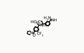 N=C(N)c1cccc(C(CC(=O)O)NC(=O)c2ccc(C(=O)N3CCCC3)c(C(F)(F)F)c2)c1